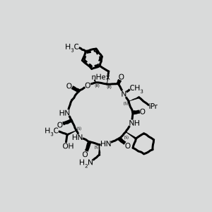 CCCCCC[C@H]1OC(=O)CNC(=O)[C@H](C(C)O)NC(=O)[C@H](CN)NC(=O)[C@H](C2CCCCC2)NC(=O)[C@H](CC(C)C)N(C)C(=O)[C@@H]1Cc1ccc(C)cc1